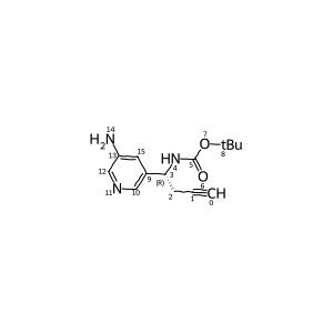 C#CC[C@@H](NC(=O)OC(C)(C)C)c1cncc(N)c1